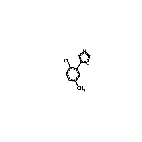 Cc1ccc(Cl)c(-c2cnco2)c1